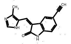 C#Cc1ccc2c(c1)C(=Cc1[nH]cnc1C)C(=O)N2